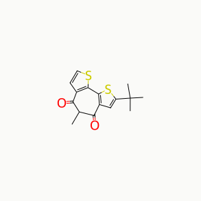 CC1C(=O)c2ccsc2-c2sc(C(C)(C)C)cc2C1=O